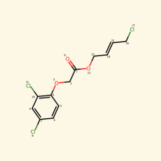 O=C(COc1ccc(Cl)cc1Cl)OC/C=C/CCl